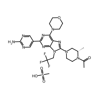 CC(=O)N1CCN(c2nc3c(N4CCOCC4)nc(-c4cnc(N)nc4)nc3n2CC(F)(F)F)C[C@@H]1C.CS(=O)(=O)O